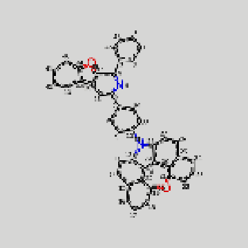 c1ccc(-c2nc(-c3ccc(-n4c5ccc6cccc7oc8cccc9ccc4c(c98)c5c67)cc3)cc3c2oc2ccccc23)cc1